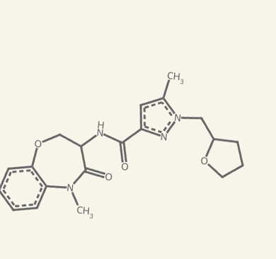 Cc1cc(C(=O)NC2COc3ccccc3N(C)C2=O)nn1CC1CCCO1